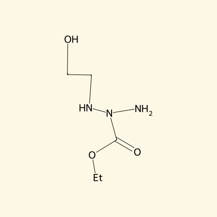 [CH2]COC(=O)N(N)NCCO